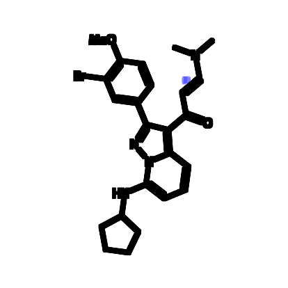 COc1ccc(-c2nn3c(NC4CCCC4)cccc3c2C(=O)/C=C/N(C)C)cc1Br